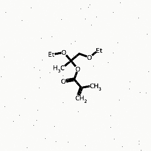 C=C(C)C(=O)OC(C)(COCC)OCC